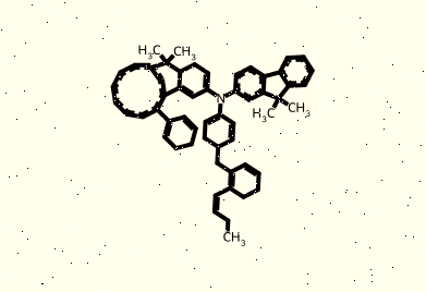 CC/C=C\C1=C(CC2C=CC(N(C3=CCC4C(=C3)c3cc(ccccccc3C3=CCCC=C3)C4(C)C)c3ccc4c(c3)C(C)(C)c3ccccc3-4)=CC2)C=CCC1